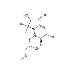 COCC(O)CN(C(=O)CO)N(C(=O)CO)C(C)(O)CO